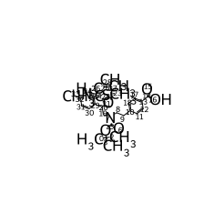 CC(C)(C)OC(=O)N(CCc1ccc(C(=O)O)cc1)CC(O[Si](C)(C)C(C)(C)C)c1ccc(Cl)nc1